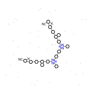 CC1(C)c2cc(C#N)ccc2-c2ccc(-c3ccc(-c4ccc(-c5ccc(-c6nc(-c7ccccc7)nc(-c7ccc(-c8ccc(-c9nc(-c%10ccccc%10)nc(-c%10ccc(-c%11ccc(-c%12ccc(-c%13ccc%14c(c%13)C(C)(C)c%13cccc(C#N)c%13-%14)cc%12)c%12ccccc%11%12)cc%10)n9)cc8)cc7)n6)cc5)c5ccccc45)cc3)cc21